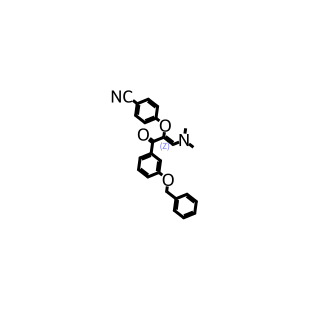 CN(C)/C=C(\Oc1ccc(C#N)cc1)C(=O)c1cccc(OCc2ccccc2)c1